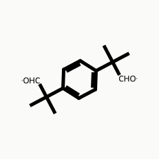 CC(C)([C]=O)c1ccc(C(C)(C)[C]=O)cc1